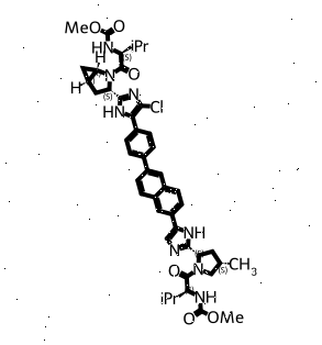 COC(=O)N[C@H](C(=O)N1C[C@@H](C)C[C@H]1c1ncc(-c2ccc3cc(-c4ccc(-c5[nH]c([C@@H]6C[C@H]7C[C@H]7N6C(=O)[C@@H](NC(=O)OC)C(C)C)nc5Cl)cc4)ccc3c2)[nH]1)C(C)C